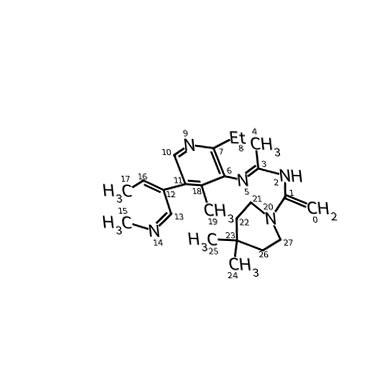 C=C(N/C(C)=N/c1c(CC)ncc(C(/C=N\C)=C/C)c1C)N1CCC(C)(C)CC1